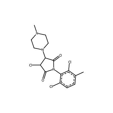 Cc1ccc(Cl)c(N2C(=O)C(Cl)C(N3CCN(C)CC3)C2=O)c1Cl